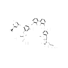 COc1cc(OCc2cccc(-c3cccc(COc4cc(OCc5cncc(C#N)c5)c(CN(C)[C@@H](CCO)C(=O)O)cc4Cl)c3C)c2C)c(Cl)cc1CN(C)[C@@H](CCCO)C(=O)O